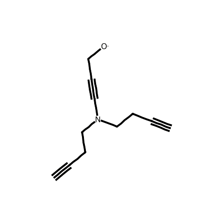 C#CCCN(C#CC[O])CCC#C